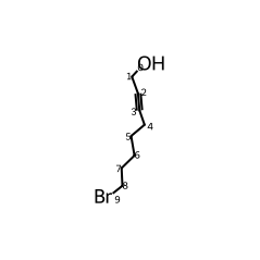 OCC#CCCCCCBr